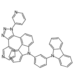 c1cncc(-c2nnn(-c3cccnc3)c2-c2cccc3c2c2ccccc2n3-c2cccc(-n3c4ccccc4c4ccccc43)c2)c1